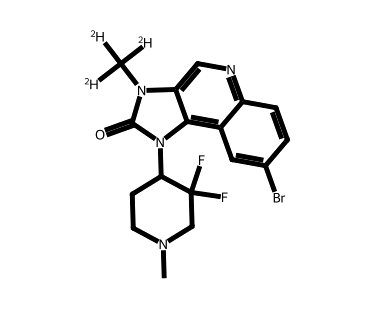 [2H]C([2H])([2H])n1c(=O)n(C2CCN(C)CC2(F)F)c2c3cc(Br)ccc3ncc21